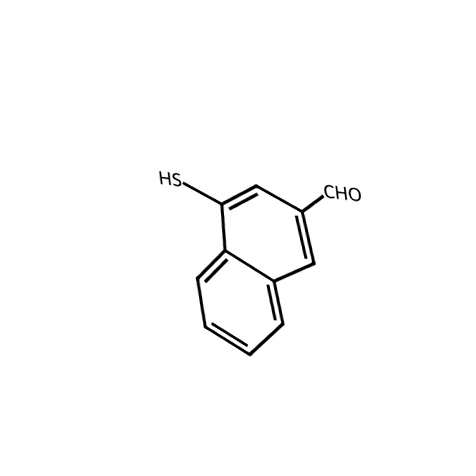 O=Cc1cc(S)c2ccccc2c1